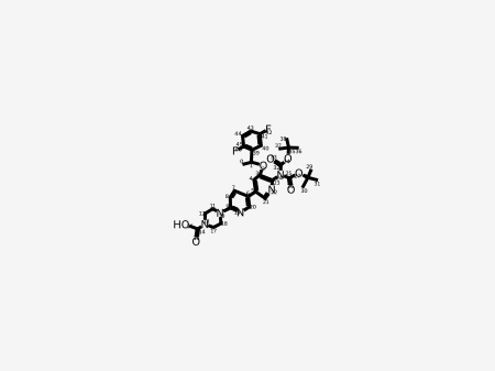 CC(Oc1cc(-c2ccc(N3CCN(C(=O)O)CC3)nc2)cnc1N(C(=O)OC(C)(C)C)C(=O)OC(C)(C)C)c1cc(F)ccc1F